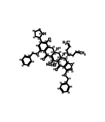 C=CCN(CC=C)[C@@H]1c2onc(OCc3ccccc3)c2C(=O)[C@@]2(O)C(O)=C3C(=O)c4c(OCc5ccccc5)cc(C5CCCN5)c(Cl)c4C[C@H]3C[C@@H]12